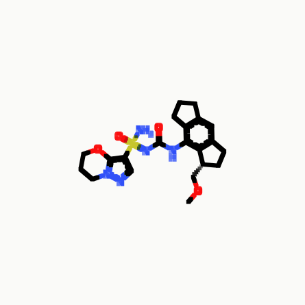 COC[C@H]1CCc2cc3c(c(NC(=O)N=S(N)(=O)c4cnn5c4OCCC5)c21)CCC3